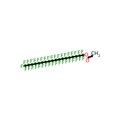 C=CC(=O)OC(F)(F)C(F)(F)C(F)(F)C(F)(F)C(F)(F)C(F)(F)C(F)(F)C(F)(F)C(F)(F)C(F)(F)C(F)(F)C(F)(F)C(F)(F)C(F)(F)C(F)(F)C(F)(F)C(F)(F)C(F)(F)F